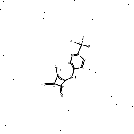 Nc1c(Nc2ccc(C(F)(F)F)nc2)c(=O)c1=O